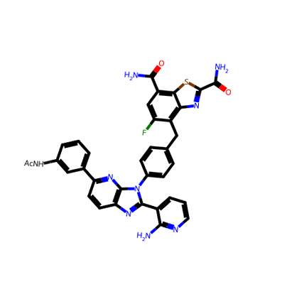 CC(=O)Nc1cccc(-c2ccc3nc(-c4cccnc4N)n(-c4ccc(Cc5c(F)cc(C(N)=O)c6sc(C(N)=O)nc56)cc4)c3n2)c1